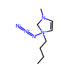 CCCC[N+]1(N=[N+]=[N-])C=CN(C)C1